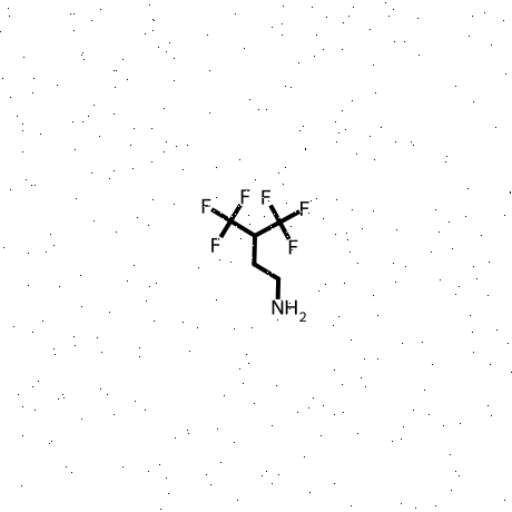 NCCC(C(F)(F)F)C(F)(F)F